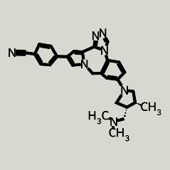 C[C@H]1CN(c2ccc3c(c2)Cn2cc(-c4ccc(C#N)cc4)cc2-c2nncn2-3)C[C@H]1CN(C)C